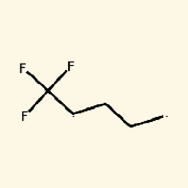 [CH2]CC[CH]C(F)(F)F